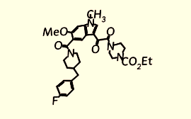 CCOC(=O)N1CCN(C(=O)C(=O)c2cn(C)c3cc(OC)c(C(=O)N4CCC(Cc5ccc(F)cc5)CC4)cc23)CC1